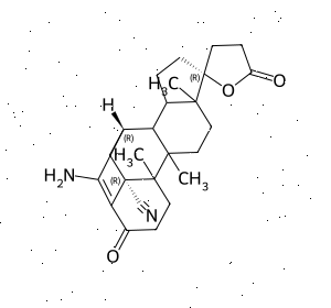 CC12CCC3(C)C(CC[C@@]34CCC(=O)O4)C1[C@H]1C[C@]3(C#N)C(=C1N)C(=O)CCC23C